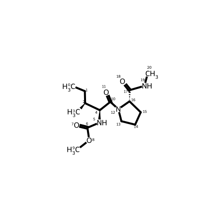 CC[C@H](C)[C@H](NC(=O)OC)C(=O)N1CCC[C@H]1C(=O)NC